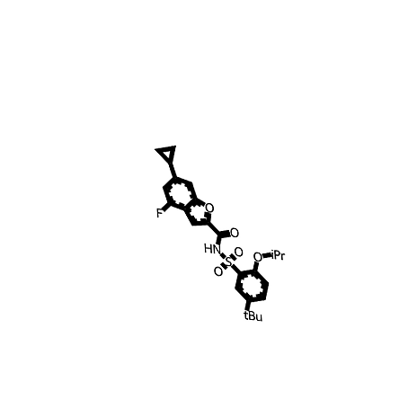 CC(C)Oc1ccc(C(C)(C)C)cc1S(=O)(=O)NC(=O)c1cc2c(F)cc(C3CC3)cc2o1